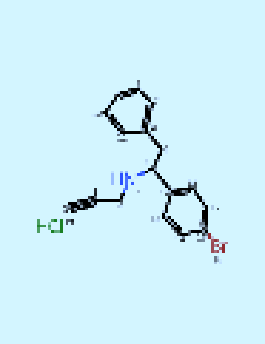 C#CCNC(Cc1ccccc1)c1ccc(Br)cc1.Cl